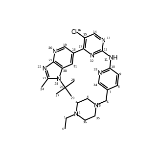 CCN1CCN(Cc2ccc(Nc3ncc(Cl)c(-c4cnc5nc(C)n(C(C)(C)C)c5c4)n3)nc2)CC1